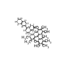 Cc1cc2c(-c3cccc4c(-c5ccc6c(c5)CCC=C6)cccc34)c3c(O)c(C)c(O)cc3c3c2c(c1C)Oc1c(O)c(C)c(C)c(C)c1-3